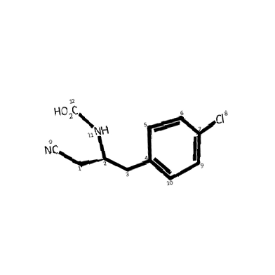 N#CC[C@H](Cc1ccc(Cl)cc1)NC(=O)O